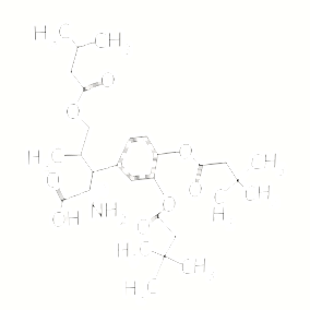 CC(C)CC(=O)OCC(C)C(c1ccc(OC(=O)CC(C)(C)C)c(OC(=O)CC(C)(C)C)c1)[C@H](N)C(=O)O